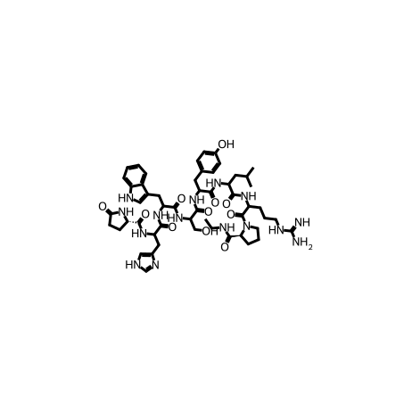 CCNC(=O)[C@@H]1CCCN1C(=O)C(CCCNC(=N)N)NC(=O)C(CC(C)C)NC(=O)C(Cc1ccc(O)cc1)NC(=O)C(CO)NC(=O)C(Cc1c[nH]c2ccccc12)NC(=O)C(Cc1c[nH]cn1)NC(=O)[C@@H]1CCC(=O)N1